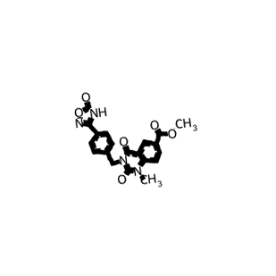 COC(=O)c1ccc2c(c1)c(=O)n(Cc1ccc(-c3noc(=O)[nH]3)cc1)c(=O)n2C